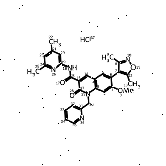 COc1cc2c(cc1-c1c(C)noc1C)cc(C(=O)Nc1cc(C)cc(C)n1)c(=O)n2Cc1ccccn1.Cl